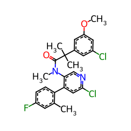 COc1cc(Cl)cc(C(C)(C)C(=O)N(C)c2cnc(Cl)cc2-c2ccc(F)cc2C)c1